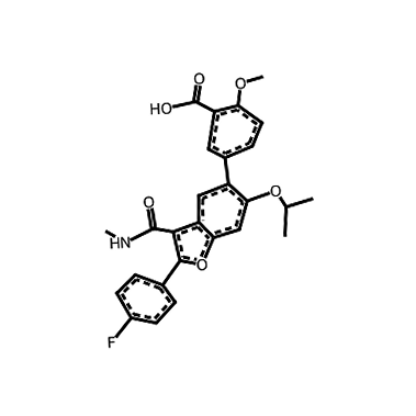 CNC(=O)c1c(-c2ccc(F)cc2)oc2cc(OC(C)C)c(-c3ccc(OC)c(C(=O)O)c3)cc12